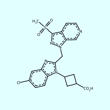 CS(=O)(=O)c1nn(Cc2nc3cc(Cl)ccc3n2C2CC(C(=O)O)C2)c2cnccc12